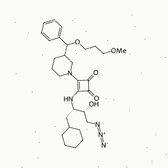 COCCCOC(c1ccccc1)C1CCCN(c2c(N[C@@H](CC3CCCCC3)[C@H](O)CN=[N+]=[N-])c(=O)c2=O)C1